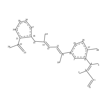 C=C/C(C)=C(\C)c1cc(/C(C)=C/C=C(\C)Cc2ccccc2C(=C)C)ccc1C